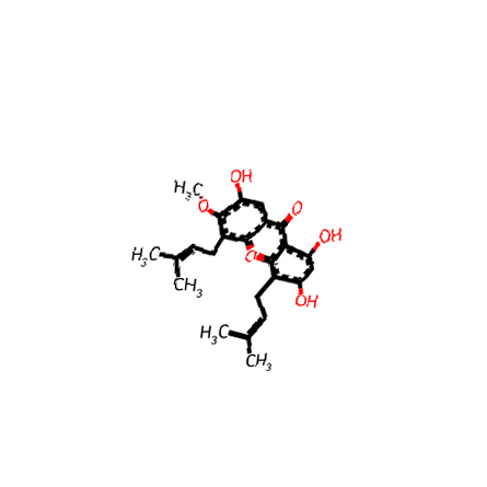 COc1c(O)cc2c(=O)c3c(O)cc(O)c(CC=C(C)C)c3oc2c1CC=C(C)C